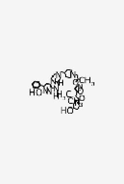 CC(C)[C@@H](C(=O)N1CC[C@@H](O)C1)c1cc(O[C@@H](C)CN2CCC(CN3CCN4c5cc(-c6ccccc6O)nnc5NC[C@H]4C3)CC2)no1